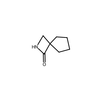 O=C1NCC12CCCC2